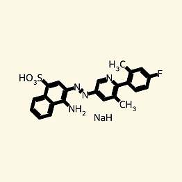 Cc1cc(F)ccc1-c1ncc(N=Nc2cc(S(=O)(=O)O)c3ccccc3c2N)cc1C.[NaH]